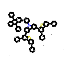 C1=CC(c2cc(-c3ccc4c(c3)c3cc(-c5cc(-c6ccccc6)cc6c5sc5ccc(-c7ccccc7)cc56)ccc3n4-c3cccc(-c4ccc5c(-c6ccccc6)c6ccccc6c(-c6ccccc6)c5c4)c3)c3sc4ccc(-c5ccccc5)cc4c3c2)=CCC1